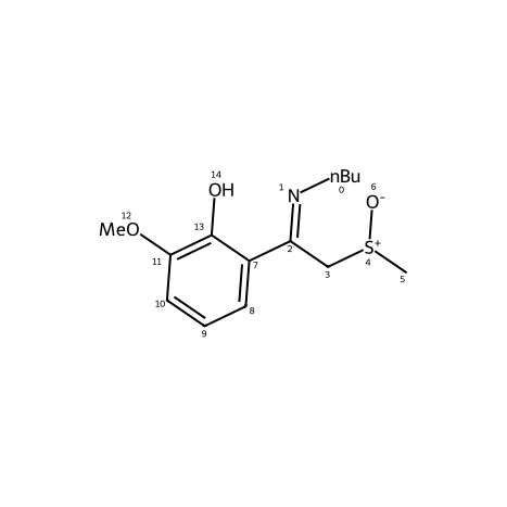 CCCCN=C(C[S+](C)[O-])c1cccc(OC)c1O